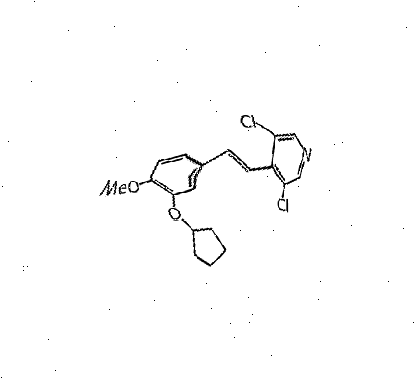 COc1ccc(/C=C/c2c(Cl)cncc2Cl)cc1OC1CCCC1